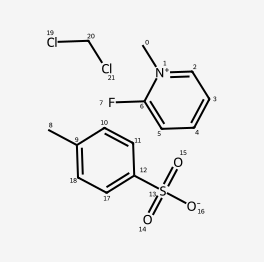 C[n+]1ccccc1F.Cc1ccc(S(=O)(=O)[O-])cc1.ClCCl